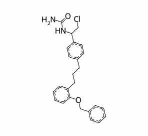 NC(=O)NC(CCl)c1ccc(CCCc2ccccc2OCc2ccccc2)cc1